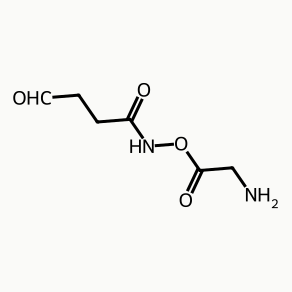 NCC(=O)ONC(=O)CCC=O